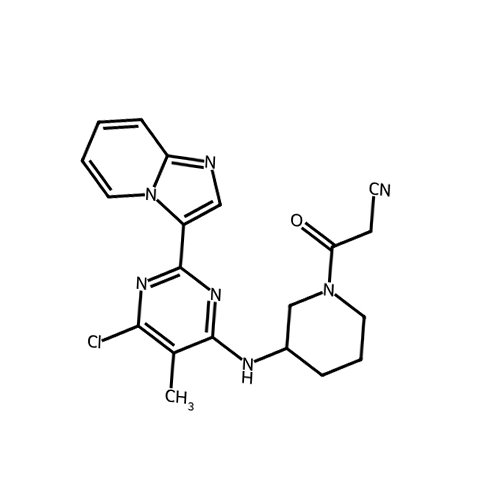 Cc1c(Cl)nc(-c2cnc3ccccn23)nc1NC1CCCN(C(=O)CC#N)C1